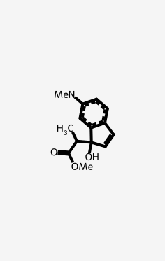 CNc1ccc2c(c1)C(O)(C(C)C(=O)OC)C=C2